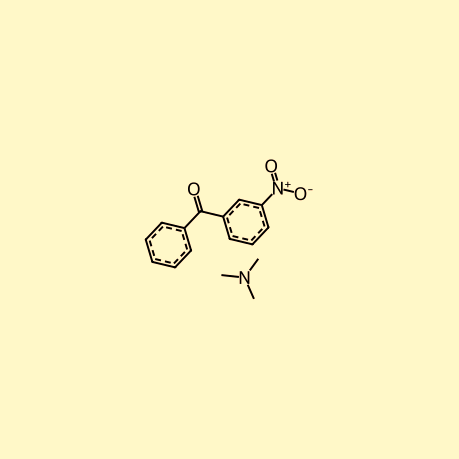 CN(C)C.O=C(c1ccccc1)c1cccc([N+](=O)[O-])c1